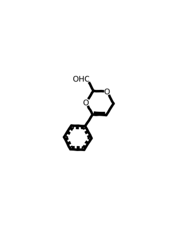 O=CC1OCC=C(c2ccccc2)O1